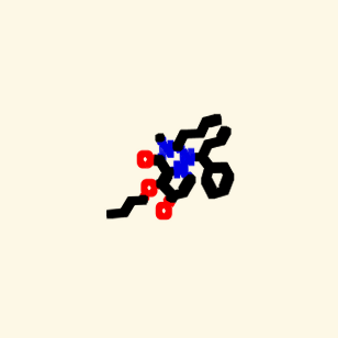 C=CCCC1N(C)C(=O)c2c(OCCCC)c(=O)ccn2N1C(CC=C)c1ccccc1